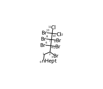 CCCCCCCCC(Br)C(Br)(Br)C(Br)(Br)C(Cl)(Cl)Br